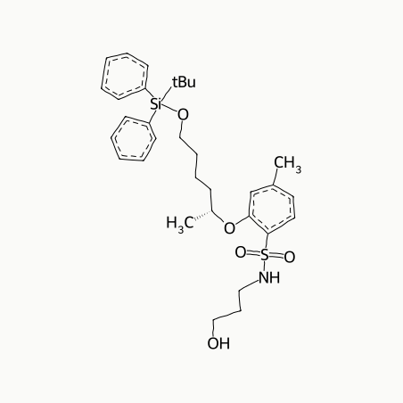 Cc1ccc(S(=O)(=O)NCCCO)c(O[C@H](C)CCCCO[Si](c2ccccc2)(c2ccccc2)C(C)(C)C)c1